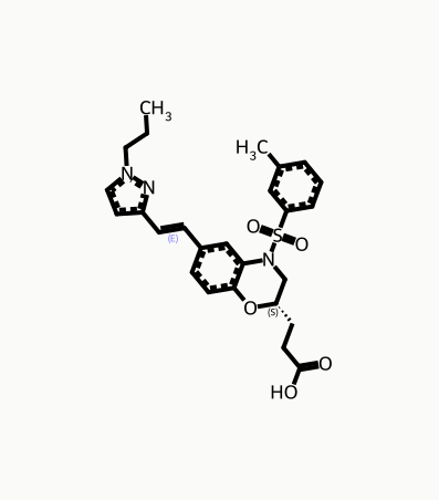 CCCn1ccc(/C=C/c2ccc3c(c2)N(S(=O)(=O)c2cccc(C)c2)C[C@H](CCC(=O)O)O3)n1